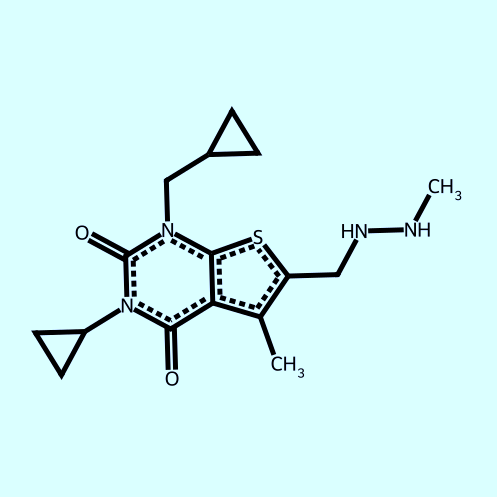 CNNCc1sc2c(c1C)c(=O)n(C1CC1)c(=O)n2CC1CC1